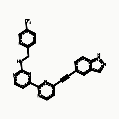 FC(F)(F)c1ccc(CNc2nccc(-c3nccc(C#Cc4ccc5[nH]ncc5c4)n3)n2)nc1